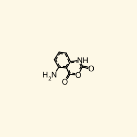 Nc1cccc2[nH]c(=O)oc(=O)c12